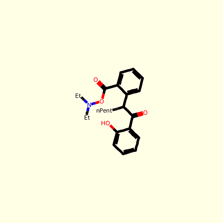 CCCCCC(C(=O)c1ccccc1O)c1ccccc1C(=O)ON(CC)CC